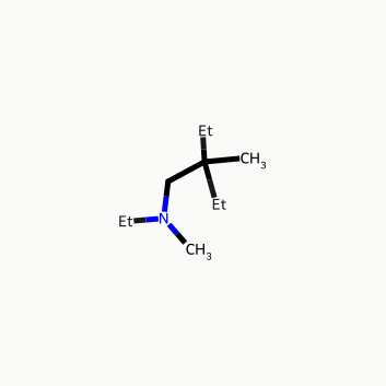 CCN(C)CC(C)(CC)CC